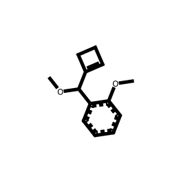 COc1ccccc1C(OC)C1=CCC1